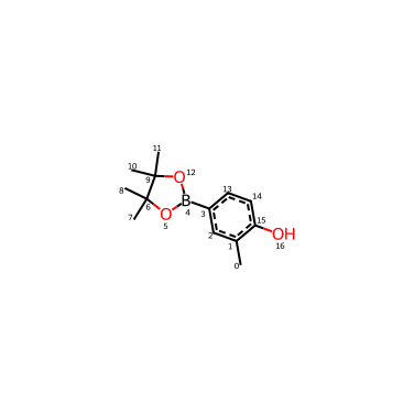 Cc1cc(B2OC(C)(C)C(C)(C)O2)ccc1O